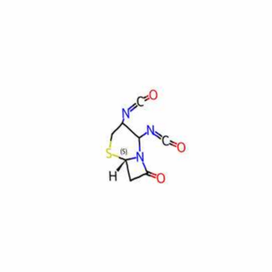 O=C=NC1CS[C@H]2CC(=O)N2C1N=C=O